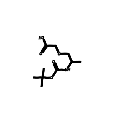 CC(COCC(=O)O)NC(=O)OC(C)(C)C